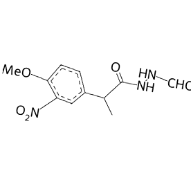 COc1ccc(C(C)C(=O)NNC=O)cc1[N+](=O)[O-]